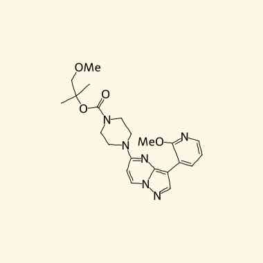 COCC(C)(C)OC(=O)N1CCN(c2ccn3ncc(-c4cccnc4OC)c3n2)CC1